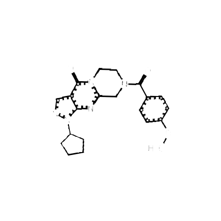 COc1ccc(C(=O)N2CCn3c(nc4c(cnn4C4CCCC4)c3=O)C2)cc1